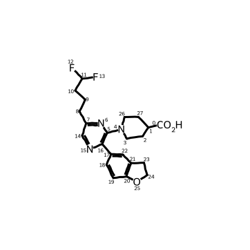 O=C(O)C1CCN(c2nc(CCCC(F)F)cnc2-c2ccc3c(c2)CCO3)CC1